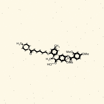 COc1ccc(C(=O)Nc2ccc(C(=O)N(C)c3ccc(C)cc3OCCCCCC(=O)N3CCN(C)CC3)cc2OC)c(OC)c1.Cl